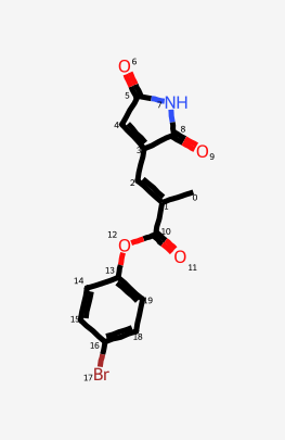 CC(=CC1=CC(=O)NC1=O)C(=O)Oc1ccc(Br)cc1